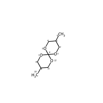 CC1COC2(OC1)OCC(C)CO2